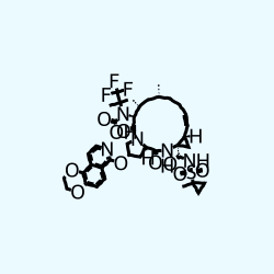 C[C@@H]1CC/C=C\[C@@H]2C[C@@]2(C(=O)NS(=O)(=O)C2(C)CC2)NC(=O)[C@@H]2C[C@@H](Oc3nccc4c5c(ccc34)OCCO5)CN2C(=O)[C@@H](N(C(=O)O)C(C)(C)C(F)(F)F)[C@H](C)C1